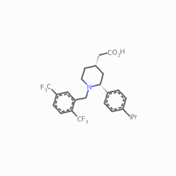 CC(C)c1ccc([C@H]2C[C@@H](CC(=O)O)CCN2Cc2cc(C(F)(F)F)ccc2C(F)(F)F)cc1